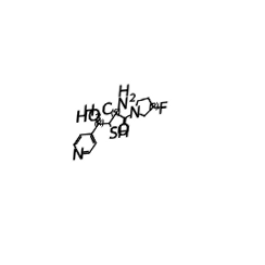 C[C@](N)(C(=O)N1CC[C@@H](F)C1)C(S)[C@H](O)c1ccncc1